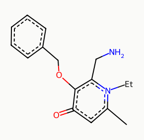 CCn1c(C)cc(=O)c(OCc2ccccc2)c1CN